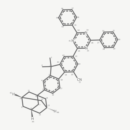 CC1(C)c2cc(C34C[C@H]5C[C@H](C3)C[C@@H](C4)C5)ccc2-c2c(C#N)cc(-c3nc(-c4ccccc4)nc(-c4ccccc4)n3)cc21